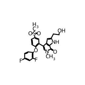 Cn1cc(-c2cc(S(C)(=O)=O)ccc2Oc2ccc(F)cc2F)c2cc(CCO)[nH]c2c1=O